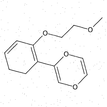 COCCOC1=C(C2=COC=CO2)CCC=C1